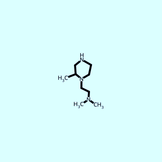 CC1CNCCN1CCN(C)C